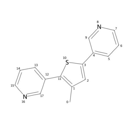 Cc1cc(-c2cccnc2)sc1-c1cccnc1